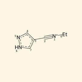 CC[N+]#Cc1cn[nH]c1